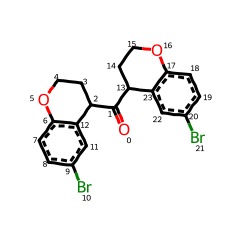 O=C(C1CCOc2ccc(Br)cc21)C1CCOc2ccc(Br)cc21